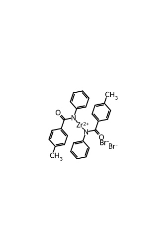 Cc1ccc(C(=O)[N]([Zr+2][N](C(=O)c2ccc(C)cc2)c2ccccc2)c2ccccc2)cc1.[Br-].[Br-]